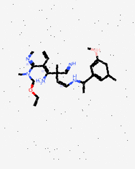 C=CC(=C(/N)C(C)(C=N)/C=C\NC(C)C1=CC(C)CC(BC)=C1)/C(=N\C)N(C)COCC